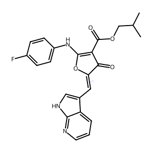 CC(C)COC(=O)C1=C(Nc2ccc(F)cc2)O/C(=C\c2c[nH]c3ncccc23)C1=O